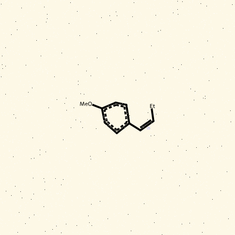 CC/C=C\c1ccc(OC)cc1